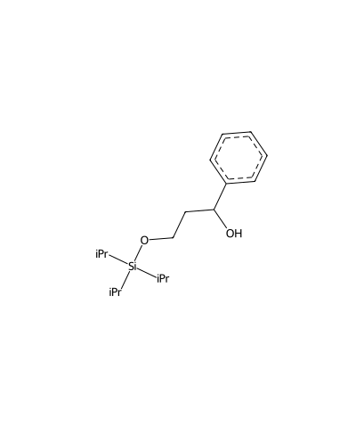 CC(C)[Si](OCCC(O)c1ccccc1)(C(C)C)C(C)C